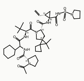 C=C[C@@H]1C[C@]1(NC(=O)[C@@H]1C[C@@]2(CN1C(=O)[C@@H](NC(=O)C([AsH]C(=O)[C@@H]1CCCN1C(C)=O)C1CCCCC1)C(C)(C)C)C(C)(C)C21CCC1)C(=O)NS(=O)(=O)N1CCCC1